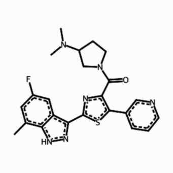 Cc1cc(F)cc2c(-c3nc(C(=O)N4CCC(N(C)C)C4)c(-c4cccnc4)s3)n[nH]c12